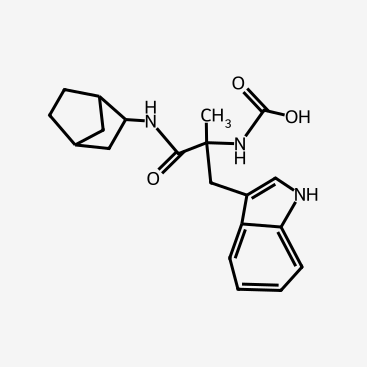 CC(Cc1c[nH]c2ccccc12)(NC(=O)O)C(=O)NC1CC2CCC1C2